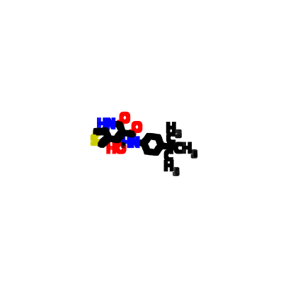 CC(C)(C)C1CCC(NC(=O)c2c(O)c3cscc3[nH]c2=O)CC1